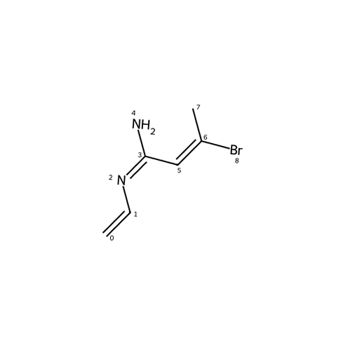 C=C/N=C(N)\C=C(/C)Br